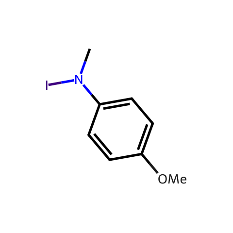 COc1ccc(N(C)I)cc1